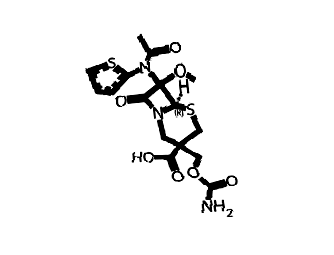 COC1(N(C(C)=O)c2cccs2)C(=O)N2CC(COC(N)=O)(C(=O)O)CS[C@@H]21